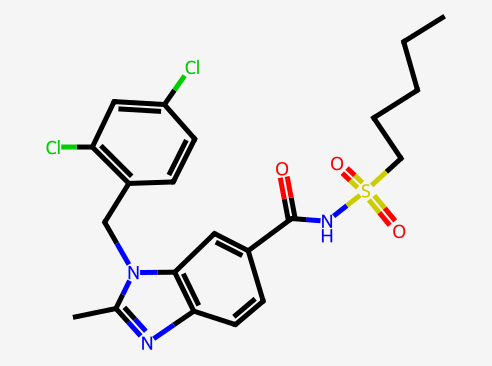 CCCCCS(=O)(=O)NC(=O)c1ccc2nc(C)n(Cc3ccc(Cl)cc3Cl)c2c1